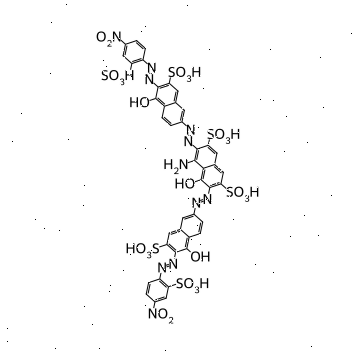 Nc1c(N=Nc2ccc3c(O)c(N=Nc4ccc([N+](=O)[O-])cc4S(=O)(=O)O)c(S(=O)(=O)O)cc3c2)c(S(=O)(=O)O)cc2cc(S(=O)(=O)O)c(N=Nc3ccc4c(O)c(N=Nc5ccc([N+](=O)[O-])cc5S(=O)(=O)O)c(S(=O)(=O)O)cc4c3)c(O)c12